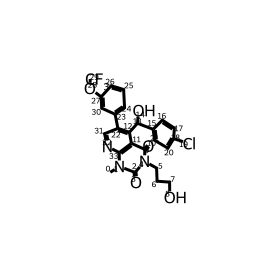 Cn1c(=O)n(CCCO)c(=O)c2c(C(O)c3ccc(Cl)cc3)c(-c3cccc(OC(F)(F)F)c3)cnc21